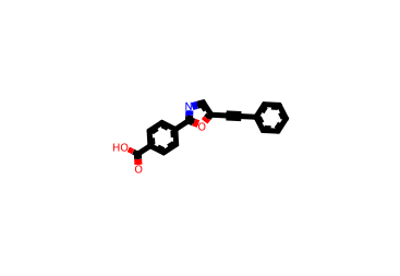 O=C(O)c1ccc(-c2ncc(C#Cc3ccccc3)o2)cc1